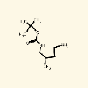 C[C@H](CCN)CNC(=O)OC(C)(C)C